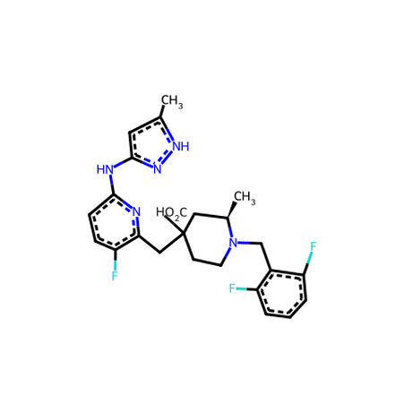 Cc1cc(Nc2ccc(F)c(CC3(C(=O)O)CCN(Cc4c(F)cccc4F)[C@H](C)C3)n2)n[nH]1